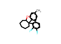 Cc1ccc(C2(c3cccc(F)c3F)CCCCCC2O)cc1